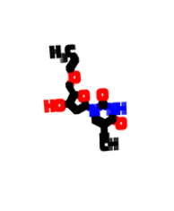 C#Cc1cn([C@H]2CC(O)[C@@H](COCCC)O2)c(=O)[nH]c1=O